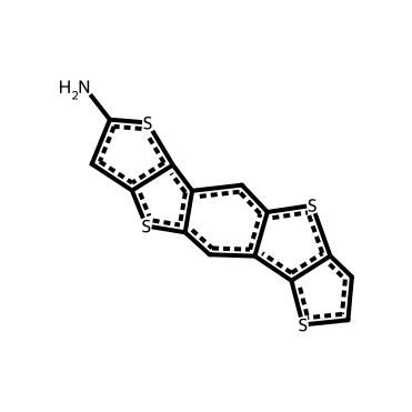 Nc1cc2sc3cc4c(cc3c2s1)sc1ccsc14